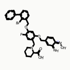 N=C1C=C(COc2cc(OCc3cccc(-c4ccccc4)c3Br)c(F)cc2CN2CCCCC2C(=O)O)C=C/C1=N/O